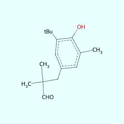 Cc1cc(CC(C)(C)C=O)cc(C(C)(C)C)c1O